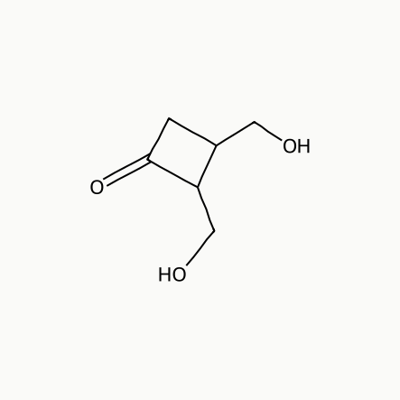 O=C1CC(CO)C1CO